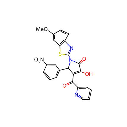 COc1ccc2nc(N3C(=O)C(O)=C(C(=O)c4ccccn4)C3c3cccc([N+](=O)[O-])c3)sc2c1